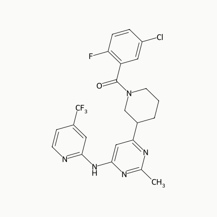 Cc1nc(Nc2cc(C(F)(F)F)ccn2)cc(C2CCCN(C(=O)c3cc(Cl)ccc3F)C2)n1